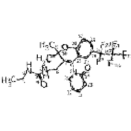 CCNC(=O)NCC1=C(n2ccccc2=O)c2cc(C(F)(F)C(F)(F)F)ccc2OC1(C)C